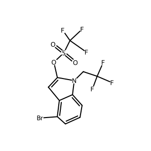 O=S(=O)(Oc1cc2c(Br)cccc2n1CC(F)(F)F)C(F)(F)F